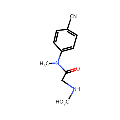 CN(C(=O)CNC(=O)O)c1ccc(C#N)cc1